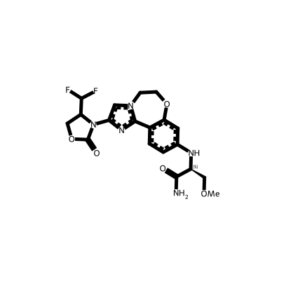 COC[C@H](Nc1ccc2c(c1)OCCn1cc(N3C(=O)OCC3C(F)F)nc1-2)C(N)=O